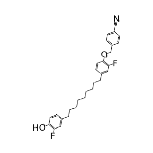 N#Cc1ccc(COc2ccc(CCCCCCCCCc3ccc(O)c(F)c3)cc2F)cc1